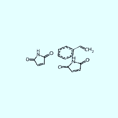 C=Cc1ccccc1.O=C1C=CC(=O)N1.O=C1C=CC(=O)N1